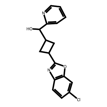 OC(c1ccccn1)C1CC(c2nc3ccc(Cl)cc3o2)C1